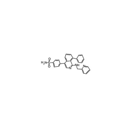 NS(=O)(=O)c1ccc(-c2cnc(NCc3ccccn3)c3c(-c4ccccc4)cccc23)cc1